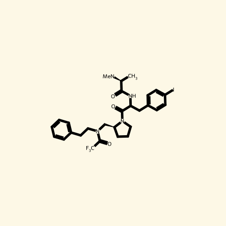 CN[C@@H](C)C(=O)NC(Cc1ccc(I)cc1)C(=O)N1CCC[C@H]1CN(CCc1ccccc1)C(=O)C(F)(F)F